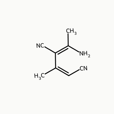 CC(=CC#N)C(C#N)=C(C)N